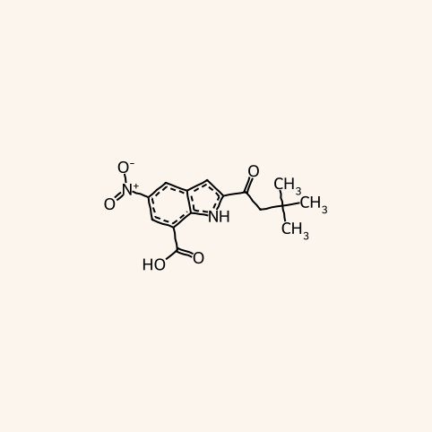 CC(C)(C)CC(=O)c1cc2cc([N+](=O)[O-])cc(C(=O)O)c2[nH]1